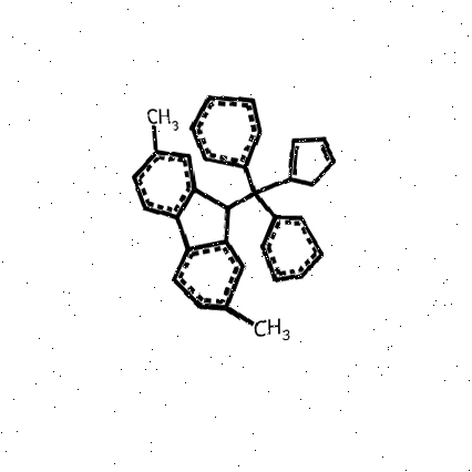 Cc1ccc2c(c1)C(C(C1=CC=CC1)(c1ccccc1)c1ccccc1)c1cc(C)ccc1-2